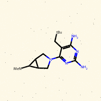 CNC1C2CN(c3nc(N)nc(N)c3CC(C)(C)C)CC21